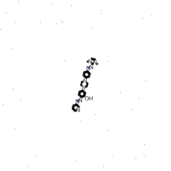 Cn1cc[n+](C)c1/N=N/c1ccc(N2CCN(c3ccc(/N=N/c4cccnc4)c(O)c3)CC2)cc1